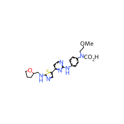 COCCN(C(=O)O)c1ccc(Nc2nccc(-c3cnc(NCC4CCCO4)s3)n2)cc1